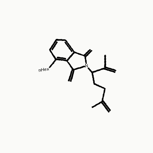 C=C(C)CCC(C(=C)C)n1c(=C)c2cccc(CCCCCC)c2c1=C